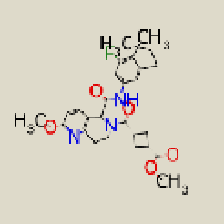 COc1ccc2c(n1)CCN(C(=O)[C@H]1C[C@@H](C(=O)OC)C1)C2C(=O)Nc1cc(F)c2c(c1)CCC2(C)C